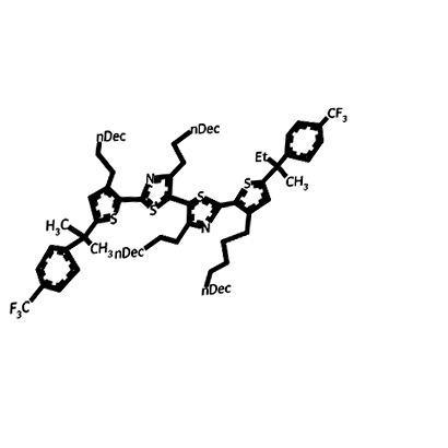 CCCCCCCCCCCCCCc1cc(C(C)(CC)c2ccc(C(F)(F)F)cc2)sc1-c1nc(CCCCCCCCCCCC)c(-c2sc(-c3sc(C(C)(C)c4ccc(C(F)(F)F)cc4)cc3CCCCCCCCCCCC)nc2CCCCCCCCCCCC)s1